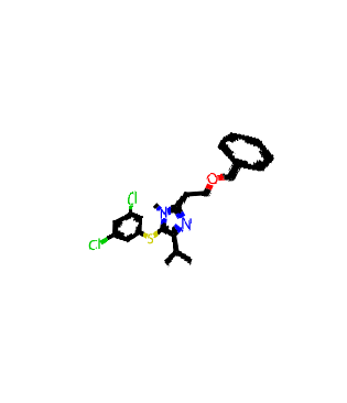 CC(C)c1nc(CCOCc2ccccc2)n(C)c1Sc1cc(Cl)cc(Cl)c1